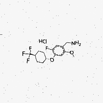 COc1cc(O[C@H]2CC[C@H](C(F)(F)F)CC2)c(F)cc1CN.Cl